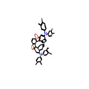 Cc1ccc(N(c2ccc(C)c(C)c2)c2cc3oc4ccc5oc6cc(N(c7ccc(C)c(C)c7)c7ccc(C)c(C)c7)c7ccccc7c6c5c4c3c3ccccc23)cc1C